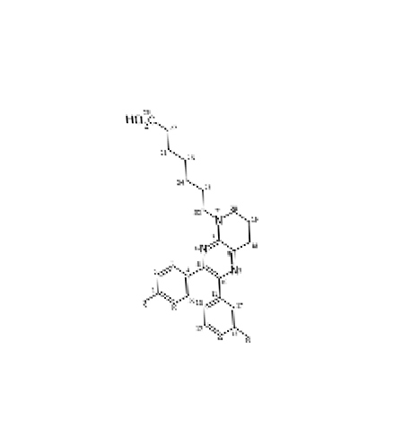 Cc1ccc(-c2nc3c(nc2-c2cccc(C)c2)CCCN3CCCCCCC(=O)O)cc1